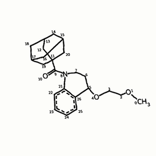 COCCOC1CCN(C(=O)C23CC4CC(CC(C4)C2)C3)c2ccccc21